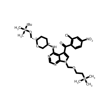 CC(C)(C)[Si](C)(C)OC[C@@H]1CC[C@@H](Nc2ncnc3c2c(C(=O)c2ccc([N+](=O)[O-])cc2Cl)cn3COCC[Si](C)(C)C)CO1